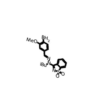 Bc1ccc(/C=N/N(C2=NS(=O)(=O)c3ccccc32)C(C)CC)cc1OC